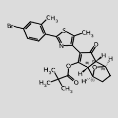 Cc1cc(Br)ccc1-c1nc(C2=C(OC(=O)C(C)(C)C)[C@@H]3[C@H](C2=O)[C@H]2CC[C@@H]3O2)c(C)s1